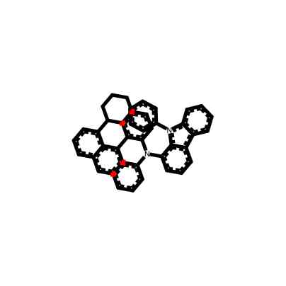 c1ccc(N(c2ccccc2-c2cccc3cccc(C4CCCCC4)c23)c2cccc3c4ccccc4n(-c4ccccc4)c23)cc1